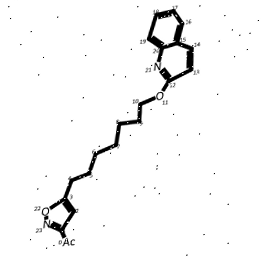 CC(=O)c1cc(CCCCCCCOc2ccc3ccccc3n2)on1